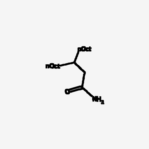 CCCCCCCCC(CCCCCCCC)CC(N)=O